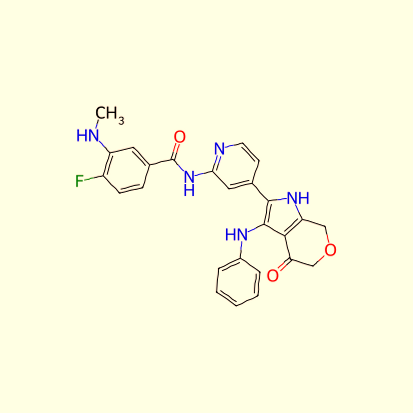 CNc1cc(C(=O)Nc2cc(-c3[nH]c4c(c3Nc3ccccc3)C(=O)COC4)ccn2)ccc1F